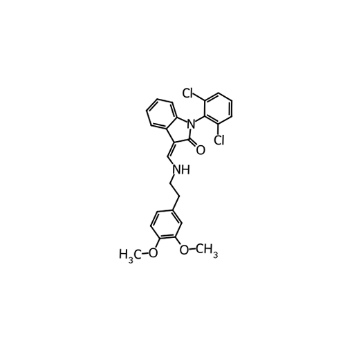 COc1ccc(CCNC=C2C(=O)N(c3c(Cl)cccc3Cl)c3ccccc32)cc1OC